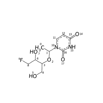 CC(OC(CO)C(O)CF)n1ccc(=O)[nH]c1=O